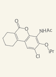 CC(=O)Nc1c(OC(C)C)c(Cl)cc2c3c(c(=O)oc12)CCCC3